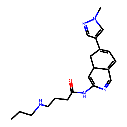 CCCNCCCC(=O)NC1=CC2CC(c3cnn(C)c3)=CC=C2C=N1